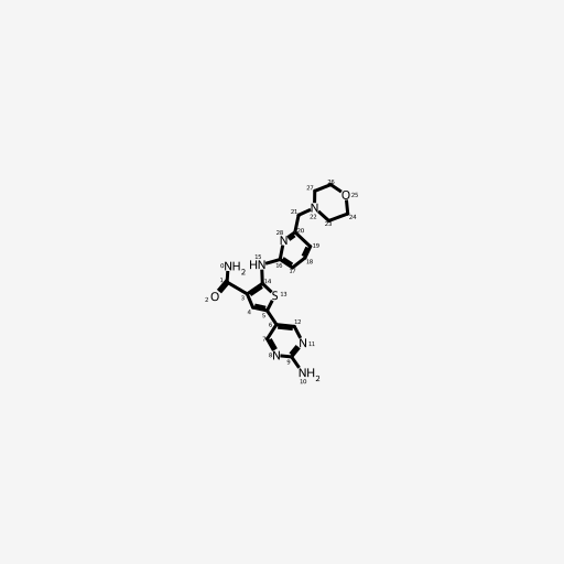 NC(=O)c1cc(-c2cnc(N)nc2)sc1Nc1cccc(CN2CCOCC2)n1